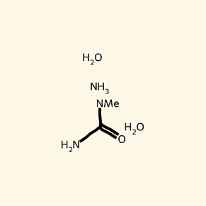 CNC(N)=O.N.O.O